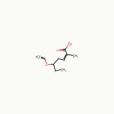 C=COC(CC)CC=C(C)C(=O)O